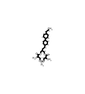 C=C(CO)C(=O)OCC(CCC1CCC(C2CCC(CCC)CC2)CC1)COC(=O)C(=C)COC